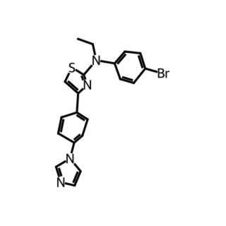 CCN(c1ccc(Br)cc1)c1nc(-c2ccc(-n3ccnc3)cc2)cs1